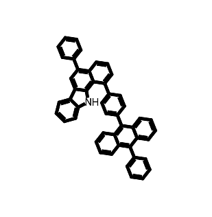 c1ccc(-c2c3ccccc3c(-c3ccc(-c4cccc5c(-c6ccccc6)cc6c7ccccc7[nH]c6c45)cc3)c3ccccc23)cc1